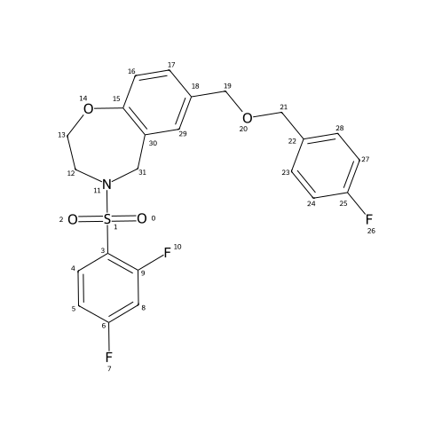 O=S(=O)(c1ccc(F)cc1F)N1CCOc2ccc(COCc3ccc(F)cc3)cc2C1